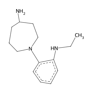 CCNc1ccccc1N1CCCC(N)CC1